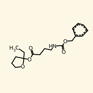 CCC1(OC(=O)CCCNC(=O)OCc2ccccc2)CCCO1